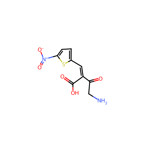 NCC(=O)C(=Cc1ccc([N+](=O)[O-])s1)C(=O)O